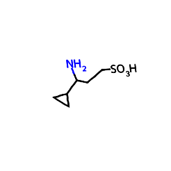 NC(CCS(=O)(=O)O)C1CC1